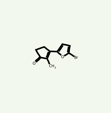 CC1=C(c2ccc(Br)o2)CCC1=O